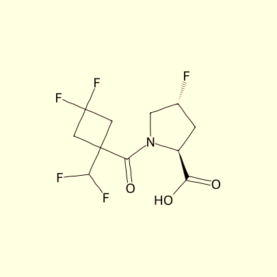 O=C(O)[C@@H]1C[C@@H](F)CN1C(=O)C1(C(F)F)CC(F)(F)C1